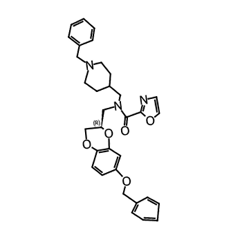 O=C(c1ncco1)N(CC1CCN(Cc2ccccc2)CC1)C[C@@H]1COc2ccc(OCc3ccccc3)cc2O1